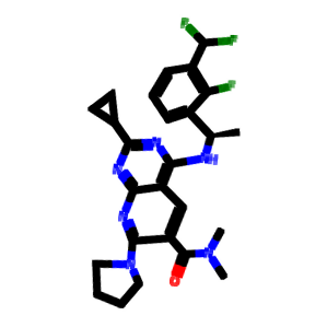 C[C@@H](Nc1nc(C2CC2)nc2nc(N3CCCC3)c(C(=O)N(C)C)cc12)c1cccc(C(F)F)c1F